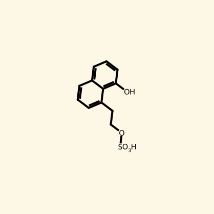 O=S(=O)(O)OCCc1cccc2cccc(O)c12